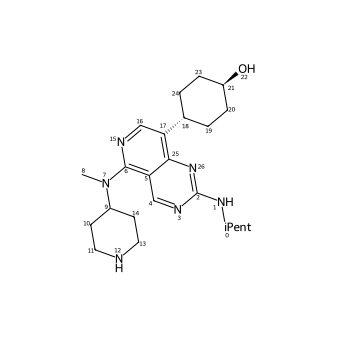 CCCC(C)Nc1ncc2c(N(C)C3CCNCC3)ncc([C@H]3CC[C@H](O)CC3)c2n1